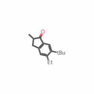 CCc1cc2c(cc1C(C)(C)C)C(=O)C(C)C2